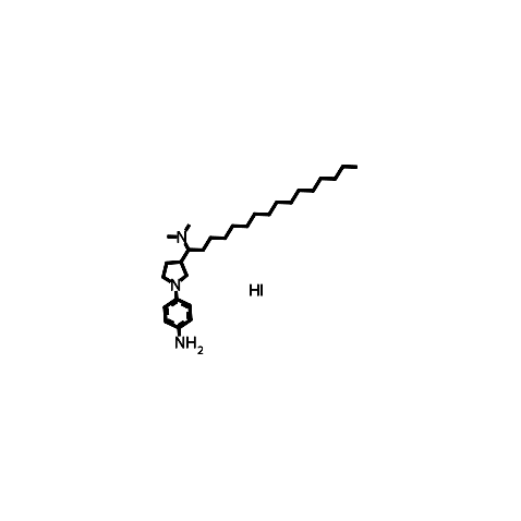 CCCCCCCCCCCCCCCC(C1CCN(c2ccc(N)cc2)C1)N(C)C.I